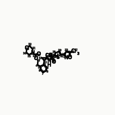 O=C(OCCc1ccccc1C1CC1(NS(=O)(=O)C1CC=C(c2cc(C(F)(F)F)on2)S1)C(=O)O)N1CCOCC1